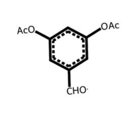 CC(=O)Oc1cc([C]=O)cc(OC(C)=O)c1